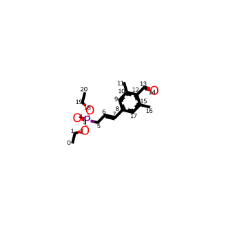 CCOP(=O)(CC=Cc1cc(C)c(C=O)c(C)c1)OCC